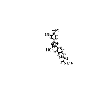 CN[C@@H](C)C(=O)N1CCc2c(ccc(-c3noc(-c4ccc(OC(C)C)c(C#N)c4)n3)c2C)C1.Cl